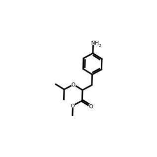 COC(=O)C(Cc1ccc(N)cc1)OC(C)C